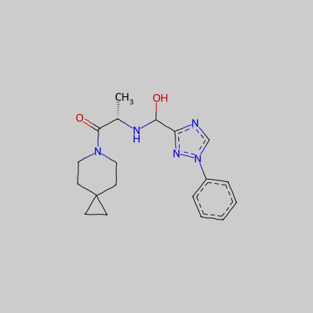 C[C@H](NC(O)c1ncn(-c2ccccc2)n1)C(=O)N1CCC2(CC1)CC2